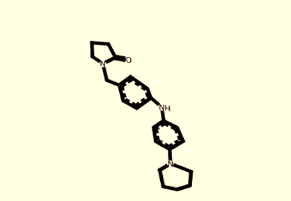 O=C1CCCN1Cc1ccc(Nc2ccc(N3CCCCC3)cc2)cc1